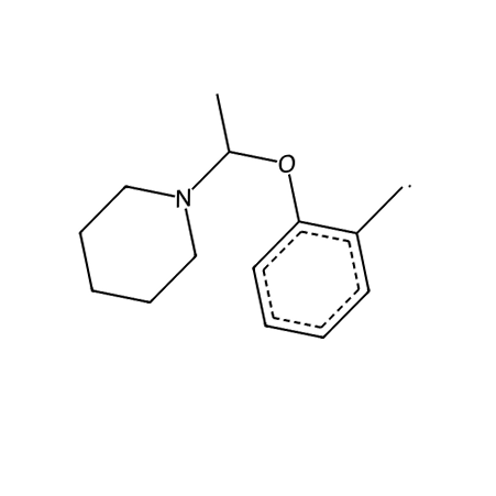 [CH2]c1ccccc1OC(C)N1CCCCC1